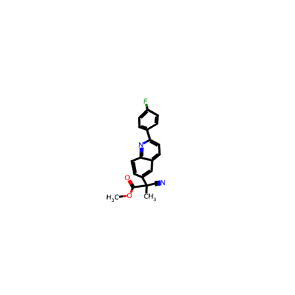 COC(=O)C(C)(C#N)c1ccc2nc(-c3ccc(F)cc3)ccc2c1